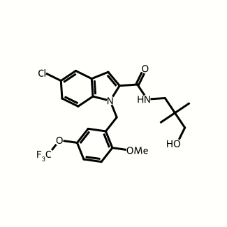 COc1ccc(OC(F)(F)F)cc1Cn1c(C(=O)NCC(C)(C)CO)cc2cc(Cl)ccc21